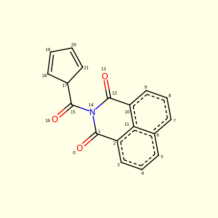 O=C1c2cccc3cccc(c23)C(=O)N1C(=O)C1C=CC=C1